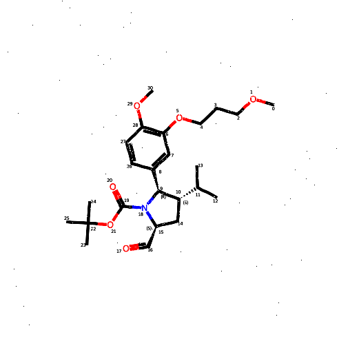 COCCCOc1cc([C@H]2[C@H](C(C)C)C[C@@H](C=O)N2C(=O)OC(C)(C)C)ccc1OC